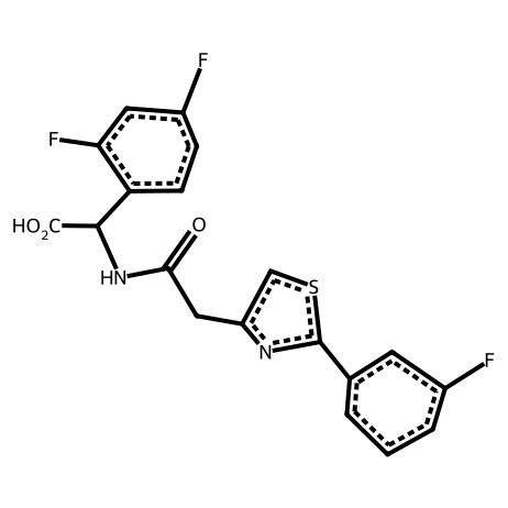 O=C(Cc1csc(-c2cccc(F)c2)n1)NC(C(=O)O)c1ccc(F)cc1F